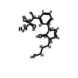 CC(c1cccc(-n2nnn(CCCF)c2=O)c1)S(N)(=O)=O